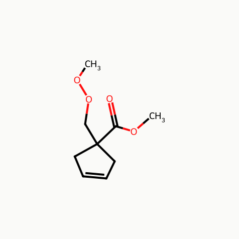 COOCC1(C(=O)OC)CC=CC1